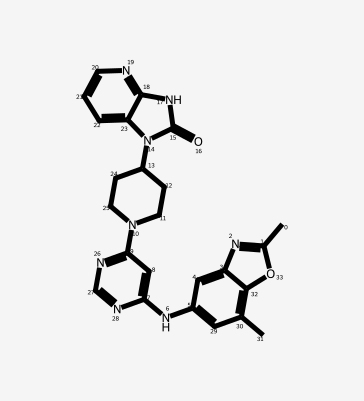 Cc1nc2cc(Nc3cc(N4CCC(n5c(=O)[nH]c6ncccc65)CC4)ncn3)cc(C)c2o1